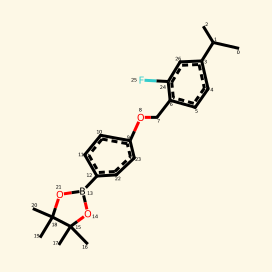 CC(C)c1ccc(COc2ccc(B3OC(C)(C)C(C)(C)O3)cc2)c(F)c1